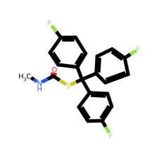 CNC(=O)SC(c1ccc(F)cc1)(c1ccc(F)cc1)c1ccc(F)cc1